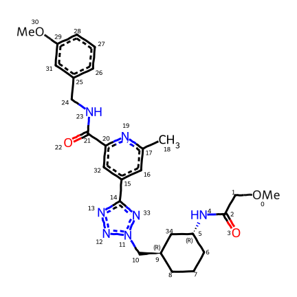 COCC(=O)N[C@@H]1CCC[C@@H](Cn2nnc(-c3cc(C)nc(C(=O)NCc4cccc(OC)c4)c3)n2)C1